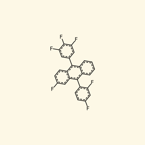 Fc1ccc(-c2c3ccccc3c(-c3cc(F)c(F)c(F)c3)c3ccc(F)cc23)c(F)c1